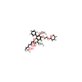 C=CC(O)CC(O)CC(=O)Oc1c(-c2ccccc2)c(OC)c(OCCOC2CCCCO2)c(F)c1C(C)C